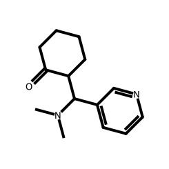 CN(C)C(c1cccnc1)C1CCCCC1=O